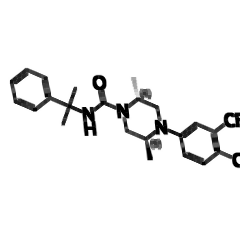 C[C@@H]1CN(c2ccc(C#N)c(C(F)(F)F)c2)[C@@H](C)CN1C(=O)NC(C)(C)c1ccccc1